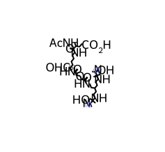 CC(=O)NC(CCC(=O)O)C(=O)NCCCC[C@@H](C=O)NC(=O)COCC(=O)NCCC(CCNC(C)(C)/C(C)=N\O)CCNC(C)(C)/C(C)=N\O